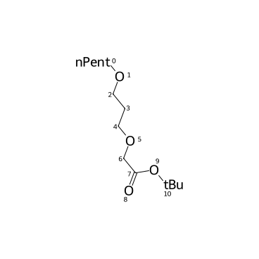 CCCCCOCCCOCC(=O)OC(C)(C)C